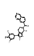 C[C@H]1c2nn(C)c(-c3cc(F)c(F)c(F)c3)c2CCN1C(=O)c1ccc2cncnc2c1